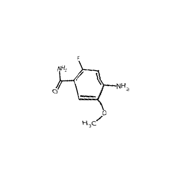 COc1cc(C(N)=O)c(F)cc1N